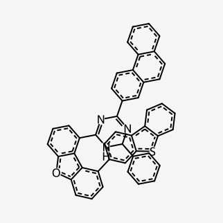 c1ccc(C2N=C(c3ccc4c(ccc5ccccc54)c3)N=C(c3cccc4oc5cccc(-c6ccc7c(c6)sc6ccccc67)c5c34)N2)cc1